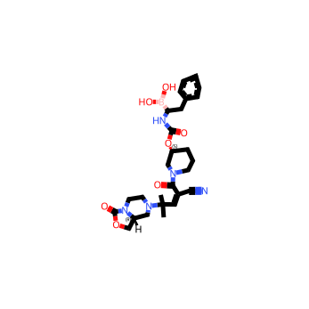 CC(C)(C=C(C#N)C(=O)N1CCC[C@H](OC(=O)NC(Cc2ccccc2)B(O)O)C1)N1CCN2C(=O)OC[C@H]2C1